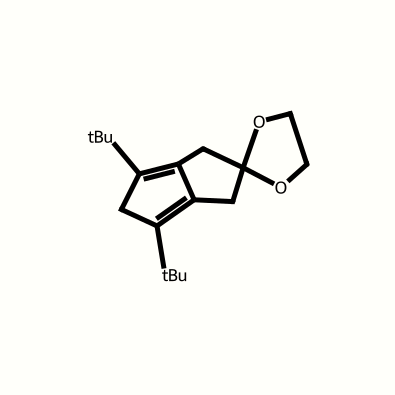 CC(C)(C)C1=C2CC3(CC2=C(C(C)(C)C)C1)OCCO3